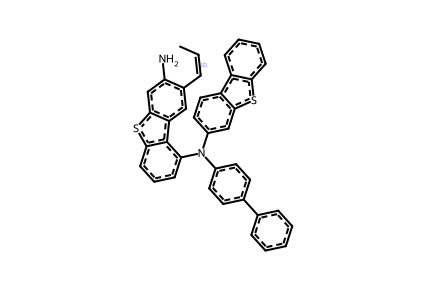 C/C=C\c1cc2c(cc1N)sc1cccc(N(c3ccc(-c4ccccc4)cc3)c3ccc4c(c3)sc3ccccc34)c12